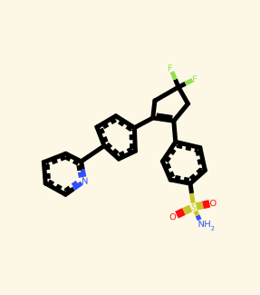 NS(=O)(=O)c1ccc(C2=C(c3ccc(-c4ccccn4)cc3)CC(F)(F)C2)cc1